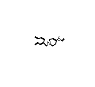 C=C/C=C\C(=C/C=C)CN1CC=C(SC=C)CC1